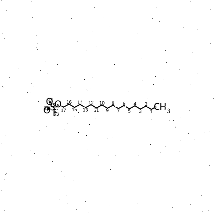 CCCCCCCCCCCCCCCCCCOS(=O)(=O)F